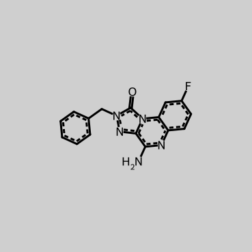 Nc1nc2ccc(F)cc2n2c(=O)n(Cc3ccccc3)nc12